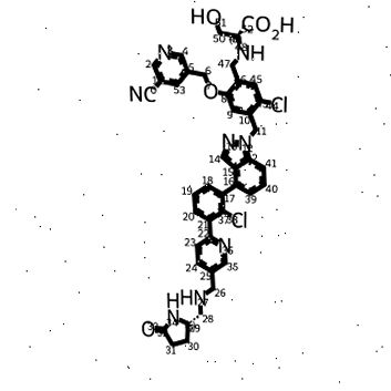 N#Cc1cncc(COc2cc(Cn3ncc4c(-c5cccc(-c6ccc(CNC[C@@H]7CCC(=O)N7)cn6)c5Cl)cccc43)c(Cl)cc2CN[C@@H](CO)C(=O)O)c1